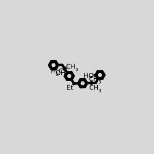 CCC(c1ccc(C(C)(C)Cc2ccccc2O)cc1)c1ccc(C(C)(C)Cc2ccccc2O)cc1